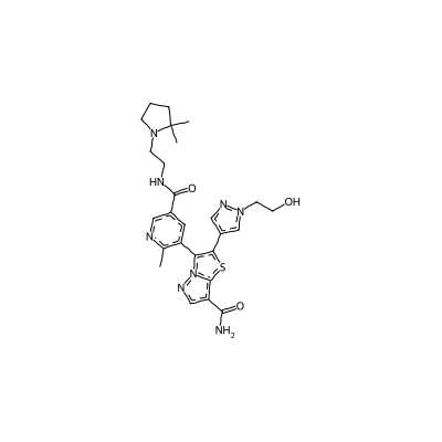 Cc1ncc(C(=O)NCCN2CCCC2(C)C)cc1-c1c(-c2cnn(CCO)c2)sc2c(C(N)=O)cnn12